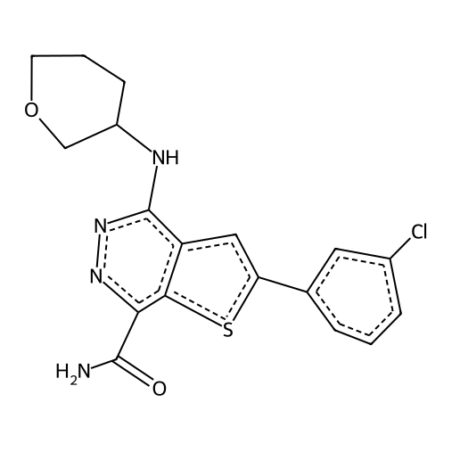 NC(=O)c1nnc(NC2CCCOC2)c2cc(-c3cccc(Cl)c3)sc12